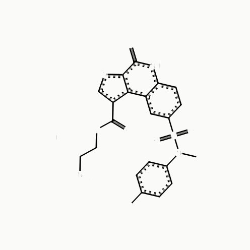 CN(c1ccc(F)cc1)S(=O)(=O)c1ccc2[nH]c(=O)c3[nH]cc(C(=O)OCCN)c3c2c1.Cl